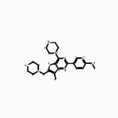 CNc1ccc(-c2nc(N3CCOCC3)c3sc(CN4CCNCC4)c(C)c3n2)cn1